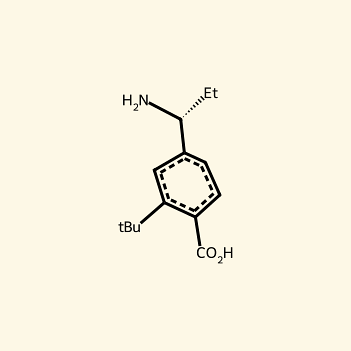 CC[C@@H](N)c1ccc(C(=O)O)c(C(C)(C)C)c1